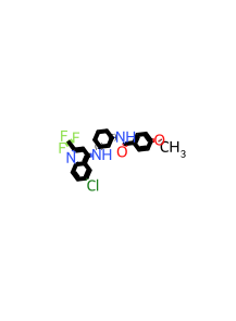 COc1ccc(C(=O)N[C@H]2CCC[C@H](Nc3cc(C(F)(F)F)nc4ccc(Cl)cc34)C2)cc1